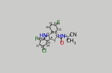 CC(C#N)NC(=O)CCc1c(-c2ccc(F)cc2)[nH]c2c(F)cc(Cl)cc12